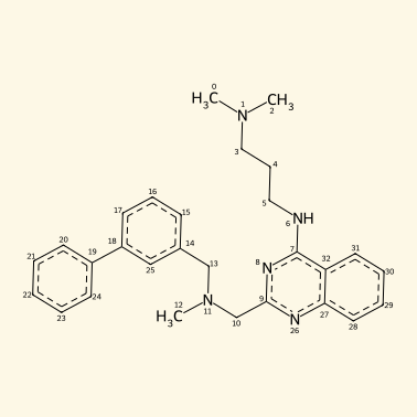 CN(C)CCCNc1nc(CN(C)Cc2cccc(-c3ccccc3)c2)nc2ccccc12